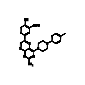 COc1cc(-c2cnc3nc(N)nc(N4CCN(c5ccc(C)cc5)CC4)c3n2)ccc1O